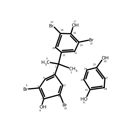 CC(C)(c1cc(Br)c(O)c(Br)c1)c1cc(Br)c(O)c(Br)c1.Oc1ccc(O)cc1